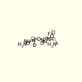 COCCN1[C@H](CCOC(=N)N)CCC[C@H]1c1ccc(-n2cc3cc(-c4cc(CCC[C@H](C)N)cc(Cl)c4F)[nH]c3nc2=O)cc1